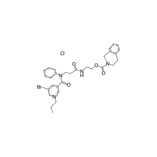 CCC[n+]1cc(Br)cc(C(=O)N(CCC(=O)NCCOC(=O)N2CCc3ccccc3C2)c2ccccc2)c1.[Cl-]